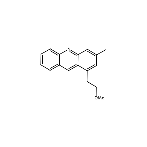 COCCc1cc(C)cc2nc3ccccc3cc12